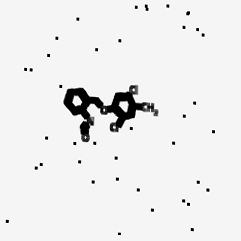 Cc1cc(Cl)c(OCc2ccccc2N=C=O)cc1Cl